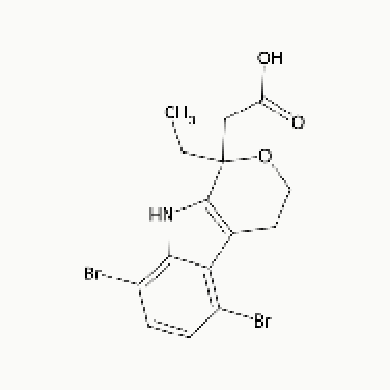 CCC1(CC(=O)O)OCCc2c1[nH]c1c(Br)ccc(Br)c21